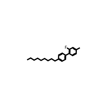 CCCCCCCCCc1ccc(-c2ccc(C)cc2F)cc1